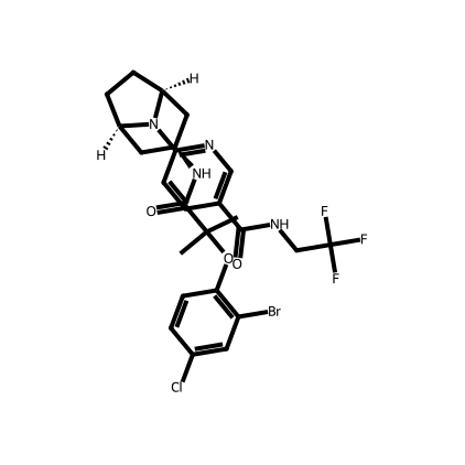 CC(C)(Oc1ccc(Cl)cc1Br)C(=O)N[C@H]1C[C@H]2CC[C@@H](C1)N2c1ccc(C(=O)NCC(F)(F)F)cn1